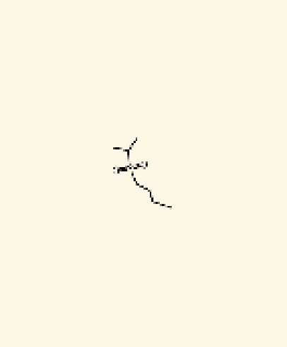 [CH2]CC[CH]S(=O)(=O)C(C)C